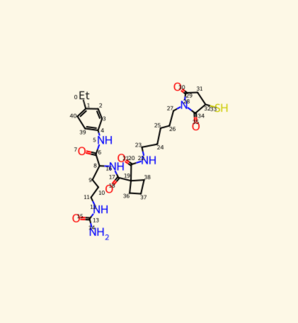 CCc1ccc(NC(=O)C(CCCNC(N)=O)NC(=O)C2(C(=O)NCCCCCN3C(=O)CC(S)C3=O)CCC2)cc1